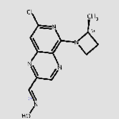 C[C@H]1CCN1c1nc(Cl)cc2nc(/C=N/O)cnc12